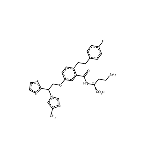 CSCC[C@H](NC(=O)c1cc(OCC(c2nccs2)n2cnc(C)c2)ccc1CCc1ccc(F)cc1)C(=O)O